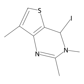 CC1=Nc2c(C)csc2C(I)N1C